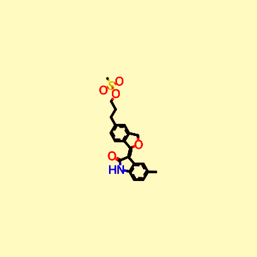 Cc1ccc2c(c1)C(=C1OCc3cc(CCCOS(C)(=O)=O)ccc31)C(=O)N2